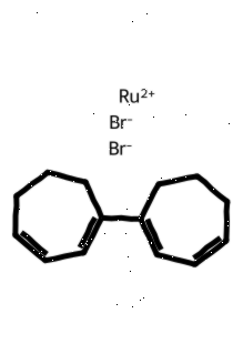 C1=CCCCC(C2=CC=CCCC2)=C1.[Br-].[Br-].[Ru+2]